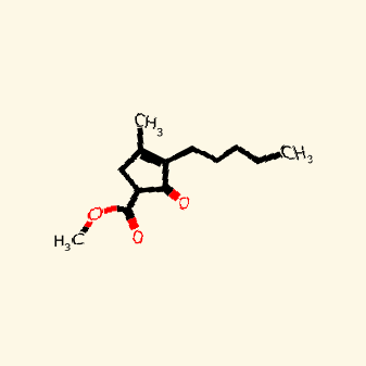 CCCCCC1=C(C)CC(C(=O)OC)C1=O